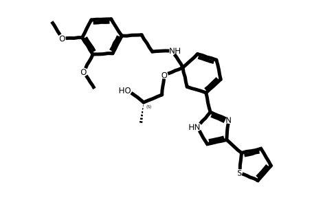 COc1ccc(CCNC2(OC[C@H](C)O)C=CC=C(c3nc(-c4cccs4)c[nH]3)C2)cc1OC